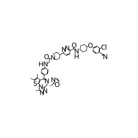 Cc1sc2c(c1C)C(c1ccc(NCC(=O)N3CCC(c4ccc(C(=O)N[C@H]5CC[C@H](Oc6ccc(C#N)c(Cl)c6)CC5)nn4)CC3)cc1)=N[C@H](Cc1ncco1)c1nnc(C)n1-2